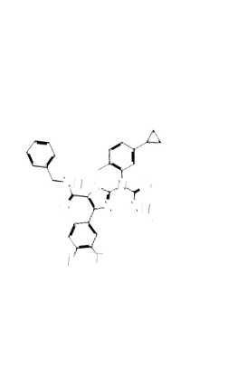 Cc1ccc(C2CC2)cc1N(C(N)=O)c1nc(-c2ccc(F)c(F)c2)c(C(=O)NCc2ccccc2)s1